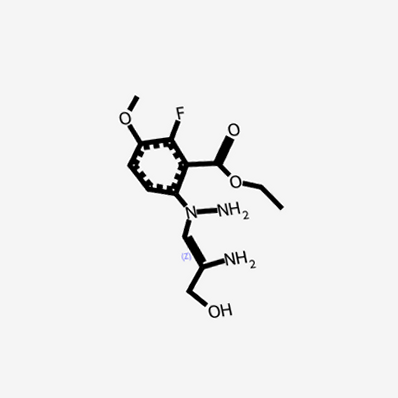 CCOC(=O)c1c(N(N)/C=C(\N)CO)ccc(OC)c1F